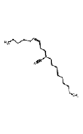 CCCCC/C=C\CCC(C#N)CCCCCCCCC